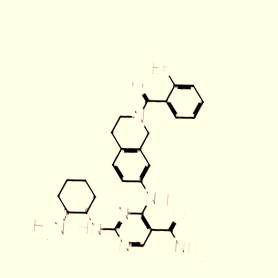 CCc1ccccc1C(=O)N1CCc2ccc(Nc3nc(N[C@@H]4CCCC[C@@H]4N)ncc3C(N)=O)cc2C1